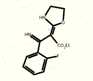 CCOC(=O)/C(C(=N)c1ccccc1F)=C1/NCCO1